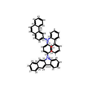 C1=CCCC(c2ccccc2N(c2ccc(-n3c4ccccc4c4cc5ccccc5cc43)cc2)c2ccc3ccc4ccccc4c3c2)=C1